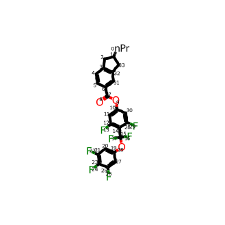 CCCC1Cc2ccc(C(=O)Oc3cc(F)c(C(F)(F)Oc4cc(F)c(F)c(F)c4)c(F)c3)cc2C1